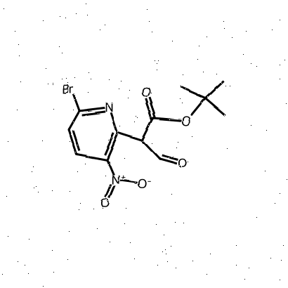 CC(C)(C)OC(=O)C(C=O)c1nc(Br)ccc1[N+](=O)[O-]